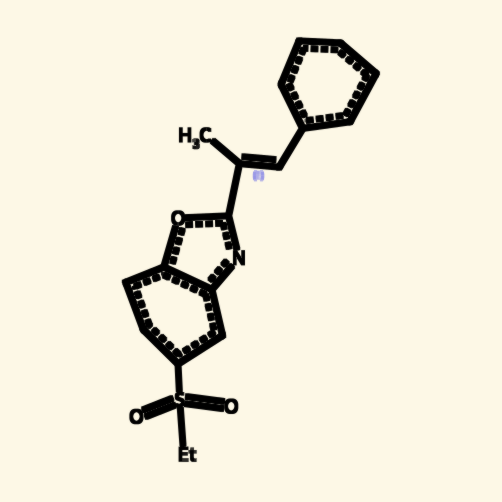 CCS(=O)(=O)c1ccc2oc(/C(C)=C/c3ccccc3)nc2c1